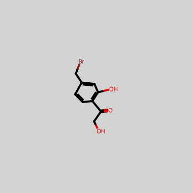 O=C(CO)c1ccc(CBr)cc1O